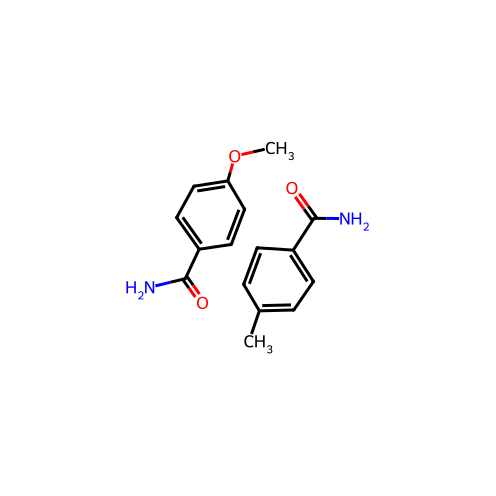 COc1ccc(C(N)=O)cc1.Cc1ccc(C(N)=O)cc1